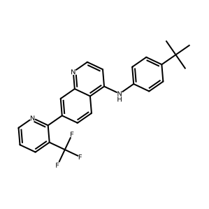 CC(C)(C)c1ccc(Nc2ccnc3cc(-c4ncccc4C(F)(F)F)ccc23)cc1